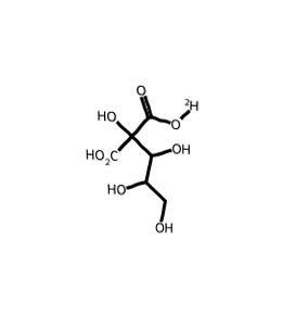 [2H]OC(=O)C(O)(C(=O)O)C(O)C(O)CO